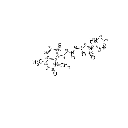 Cc1cc(=O)n(C)c2c(CCNC[C@H]3CN(C4=CN=CCN4)C(=O)O3)c(F)ccc12